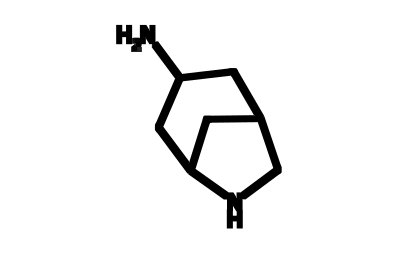 NC1CC2CNC(C1)C2